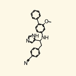 COc1cc(NC(Cc2ccc(C#N)cc2)c2cnc[nH]2)ccc1-c1ccccc1